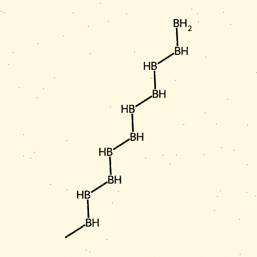 BBBBBBBBBBC